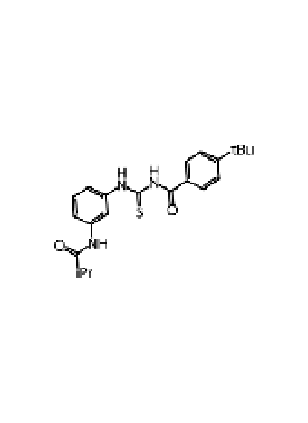 CC(C)C(=O)Nc1cccc(NC(=S)NC(=O)c2ccc(C(C)(C)C)cc2)c1